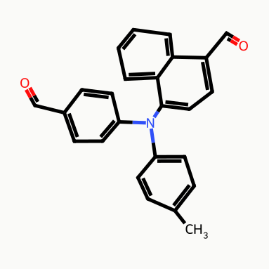 Cc1ccc(N(c2ccc(C=O)cc2)c2ccc(C=O)c3ccccc23)cc1